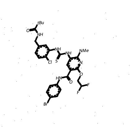 CNc1nc(OCC(F)F)c(C(=O)Nc2ccc(Br)cc2)cc1NC(=S)Nc1cc(CNC(=O)C(C)(C)C)ccc1Cl